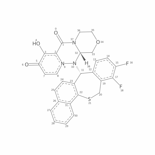 O=C1c2c(O)c(=O)ccn2N([C@@H]2c3ccc(F)c(F)c3CSc3c2ccc2ccccc32)[C@H]2COCCN12